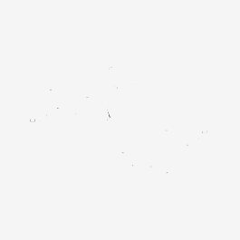 CCOc1cc2c(cc1OC)[C@H](CCc1c[nH]c3ccc(OC)cc13)N(C=O)CC2